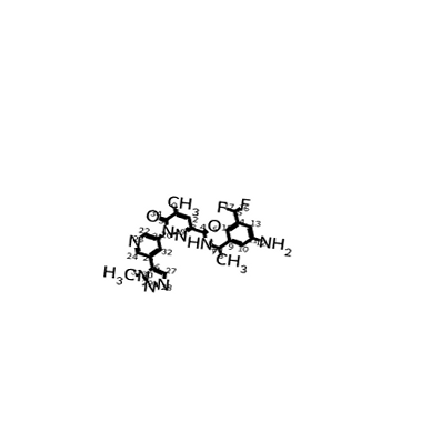 Cc1cc(C(=O)N[C@H](C)c2cc(N)cc(C(F)F)c2)nn(-c2cncc(-c3cnnn3C)c2)c1=O